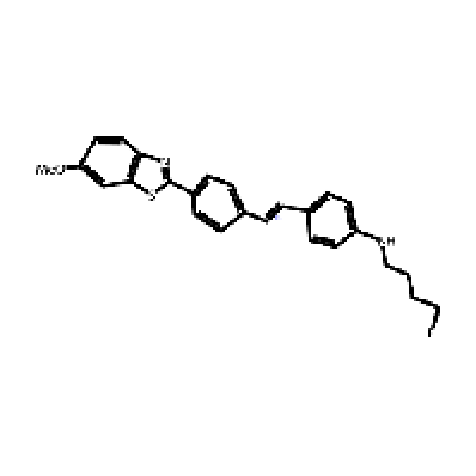 COc1ccc2nc(-c3ccc(/C=C/c4ccc(NCCCCF)cc4)cc3)sc2c1